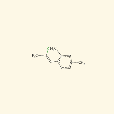 Cc1ccc(C=C(Cl)C(F)(F)F)c(C)c1